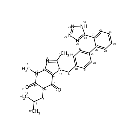 Cc1nc2c(c(=O)n(CC(C)C)c(=O)n2C)n1Cc1ccc(-c2ccccc2-c2nnn[nH]2)cc1